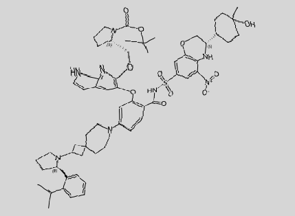 CC(C)c1ccccc1[C@H]1CCCN1C1CC2(CCN(c3ccc(C(=O)NS(=O)(=O)c4cc5c(c([N+](=O)[O-])c4)N[C@@H](C4CCC(C)(O)CC4)CO5)c(Oc4cc5cc[nH]c5nc4OC[C@@H]4CCCN4C(=O)OC(C)(C)C)c3)CC2)C1